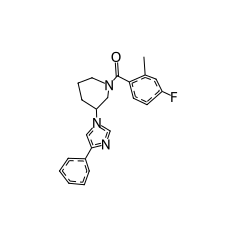 Cc1cc(F)ccc1C(=O)N1CCCC(n2cnc(-c3ccccc3)c2)C1